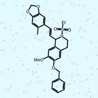 CCS(=O)(=O)N1CCc2cc(OCc3ccccc3)c(OC)cc2C1/C=C/c1cc2c(cc1C)OCO2